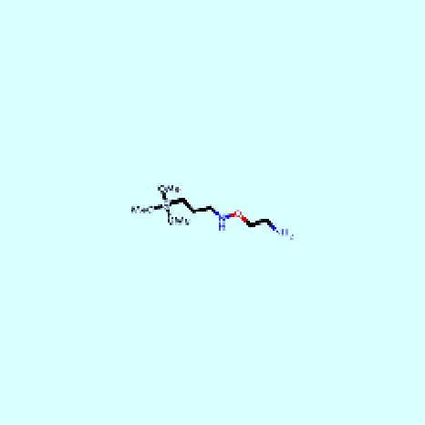 CO[Si](CCCNOCCN)(OC)OC